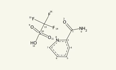 NC(=O)c1ccccn1.O=S(=O)(O)C(F)(F)F